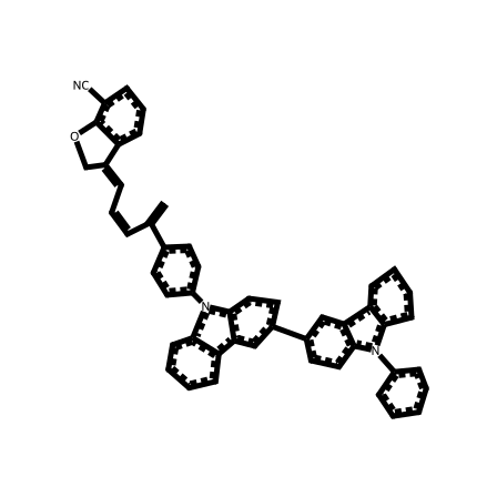 C=C(/C=C\C=C1/COc2c(C#N)cccc21)c1ccc(-n2c3ccccc3c3cc(-c4ccc5c(c4)c4ccccc4n5-c4ccccc4)ccc32)cc1